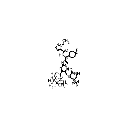 CCn1nccc1C(=O)N[C@H](c1cn2nc(C[C@H]3C[C@@H](C(F)(F)F)CNC3=O)c(C(C)O[Si](C)(C)C(C)(C)C)nc2n1)C1CCC(F)(F)CC1